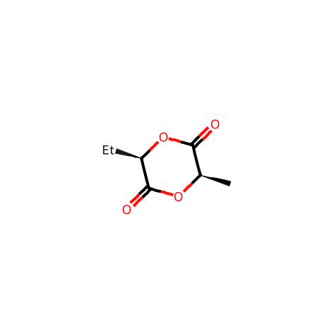 CC[C@H]1OC(=O)[C@@H](C)OC1=O